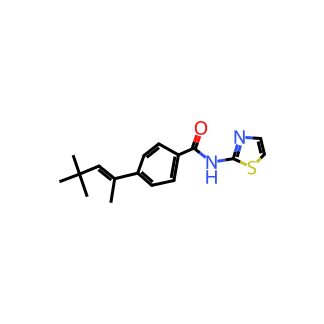 C/C(=C\C(C)(C)C)c1ccc(C(=O)Nc2nccs2)cc1